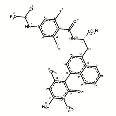 CCC(Nc1cc(F)c(C(=O)N[C@@H](Cc2ccc(-c3c(C)cc(C)n(C)c3=O)c3ncccc23)C(=O)O)c(F)c1)C(F)(F)F